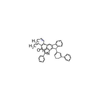 C=Cc1c(/C=C\C)c2cc3c(c4nc(-c5ccccc5)n(c1=O)c24)C(C1=CCCC(c2ccccc2)=C1)c1ccccc1-3